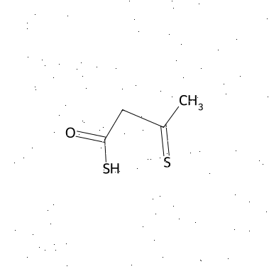 CC(=S)CC(=O)S